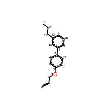 C=CCOc1ccc(-c2cccc(CCC)c2)cc1